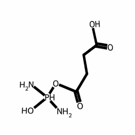 N[PH](N)(O)OC(=O)CCC(=O)O